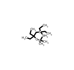 CCC1(CC)C[Si](CC)(CC)[SiH2][Si](C)(C)O1